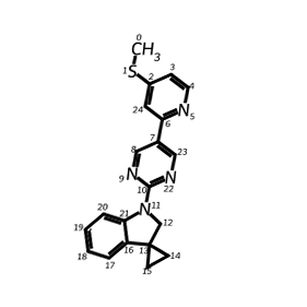 CSc1ccnc(-c2cnc(N3CC4(CC4)c4cc[c]cc43)nc2)c1